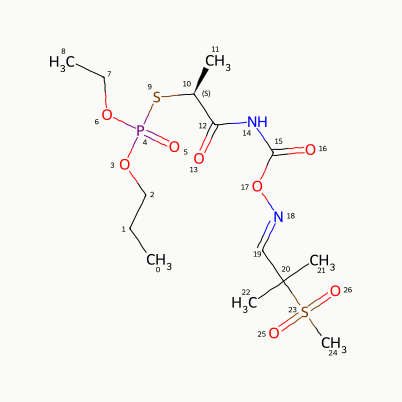 CCCOP(=O)(OCC)S[C@@H](C)C(=O)NC(=O)ON=CC(C)(C)S(C)(=O)=O